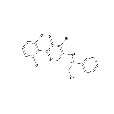 O=c1c(Br)c(N[C@@H](CO)c2ccccc2)cnn1-c1c(Cl)cccc1Cl